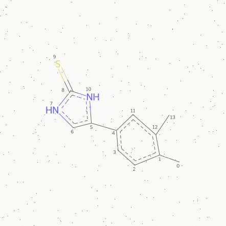 Cc1ccc(-c2c[nH]c(=S)[nH]2)cc1C